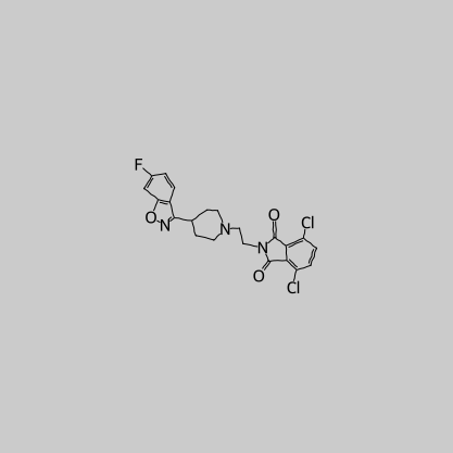 O=C1c2c(Cl)ccc(Cl)c2C(=O)N1CCN1CCC(c2noc3cc(F)ccc23)CC1